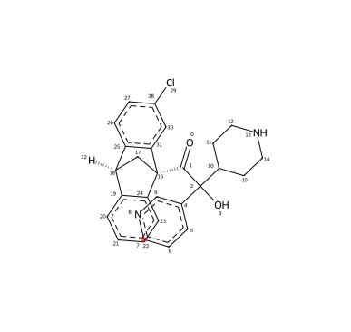 O=C(C(O)(c1cccnc1)C1CCNCC1)[C@@]12C[C@@H](c3ccccc31)c1ccc(Cl)cc12